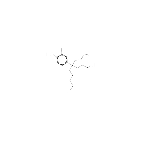 Cc1cc(C(CCCCl)(CCCCl)CCCCCl)ccc1O